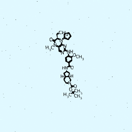 CC[C@@H]1C(=O)N(C)c2cnc(Nc3ccc(C(=O)N[C@H]4C[C@@H]5CCN(C(=O)OC(C)(C)C)C[C@@H]5C4)cc3OC)nc2N1C1CCCC1